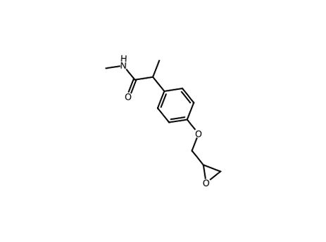 CNC(=O)C(C)c1ccc(OCC2CO2)cc1